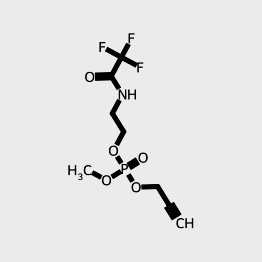 C#CCOP(=O)(OC)OCCNC(=O)C(F)(F)F